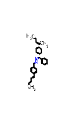 CCCCCc1ccc(C=NN=C(c2ccccc2)[C@H]2CC[C@H](C(C)CCC)CC2)cc1